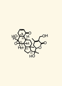 CC1=C(CO)C(=O)OC([C@](C)(O)[C@H]2CC[C@H]3[C@@H]4[C@@H]5O[C@@H]5[C@@]5(O)CC=CC(=O)[C@]5(C)[C@H]4CC[C@@]32C)C1